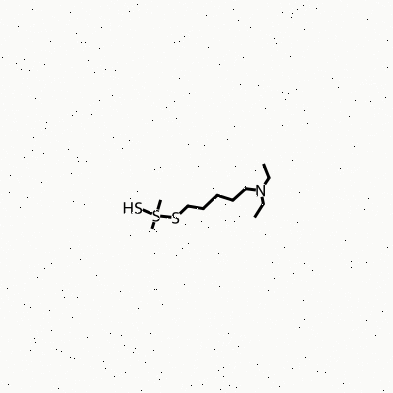 CCN(CC)CCCCCSS(C)(C)S